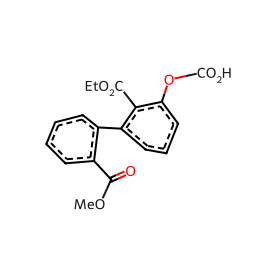 CCOC(=O)c1c(OC(=O)O)cccc1-c1ccccc1C(=O)OC